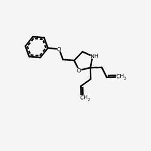 C=CCC1(CC=C)NCC(COc2ccccc2)O1